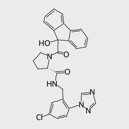 O=C(NCc1cc(Cl)ccc1-n1cncn1)[C@@H]1CCCN1C(=O)C1(O)c2ccccc2-c2ccccc21